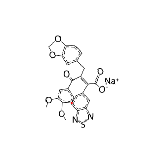 COc1ccc(C(=O)/C(Cc2ccc3c(c2)OCO3)=C(/C(=O)[O-])c2ccc3nsnc3c2)cc1OC.[Na+]